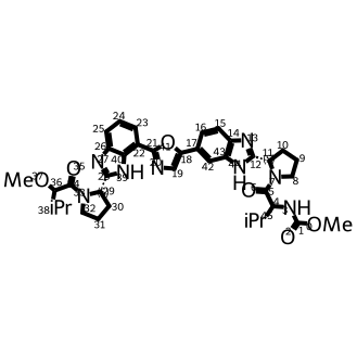 COC(=O)NC(C(=O)N1CCC[C@H]1c1nc2ccc(-c3cnc(-c4cccc5nc([C@@H]6CCCN6C(=O)C(OC)C(C)C)[nH]c45)o3)cc2[nH]1)C(C)C